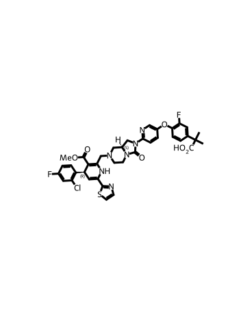 COC(=O)C1=C(CN2CCN3C(=O)N(c4ccc(Oc5ccc(C(C)(C)C(=O)O)cc5F)cn4)C[C@@H]3C2)NC(c2nccs2)=C[C@H]1c1ccc(F)cc1Cl